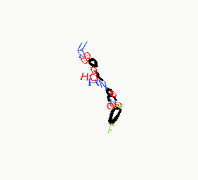 CNS(=O)(=O)c1cccc(OC[C@@H](O)CNC2COC3(CCN(S(=O)(=O)c4ccc(F)cc4F)CC3)C2)c1